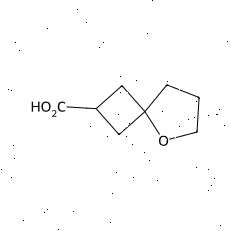 O=C(O)C1CC2(CCCO2)C1